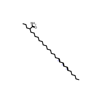 CCCCC/C=C/C=C/C=C/CCCCCCCCCCCCCC(CCC)C(N)=O